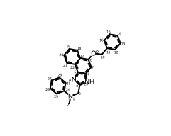 CN(Cc1nc2c(cc(OCc3ccccc3)c3ccccc32)[nH]1)c1ccccc1